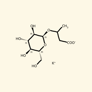 CC(CC(=O)[O-])O[C@H]1O[C@H](CO)[C@@H](O)[C@H](O)[C@H]1O.[K+]